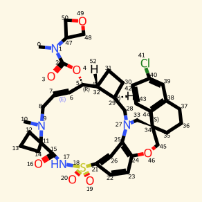 CN(C(=O)O[C@H]1/C=C/CN(C)C2(CCC2)C(=O)NS(=O)(=O)c2ccc3c(c2)N(C[C@@H]2CC[C@H]21)C[C@@]1(CCCc2cc(Cl)ccc21)CO3)C1COC1